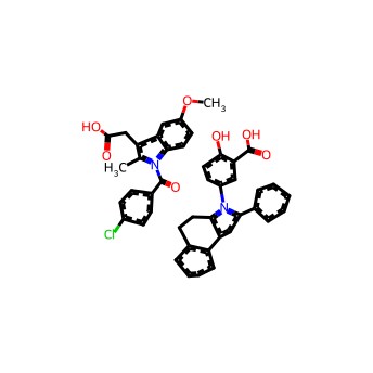 COc1ccc2c(c1)c(CC(=O)O)c(C)n2C(=O)c1ccc(Cl)cc1.O=C(O)c1cc(-n2c(-c3ccccc3)cc3c2CCc2ccccc2-3)ccc1O